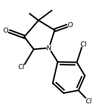 CC1(C)C(=O)C(Cl)N(c2ccc(Cl)cc2Cl)C1=O